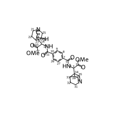 COC(=O)C(NC(=O)c1ccc(C(=O)NC(C(=O)OC)[C@H]2CN3CCC2CC3)cc1)C1CN2CCC1CC2